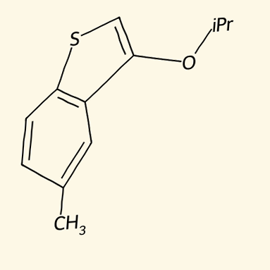 Cc1ccc2scc(OC(C)C)c2c1